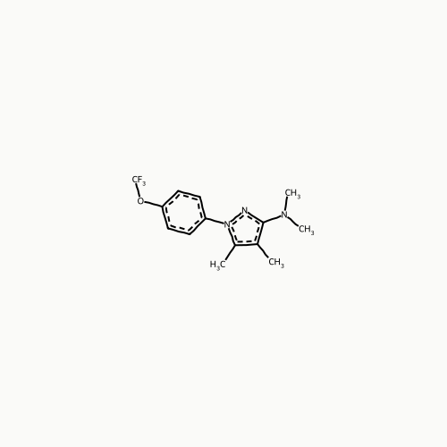 Cc1c(N(C)C)nn(-c2ccc(OC(F)(F)F)cc2)c1C